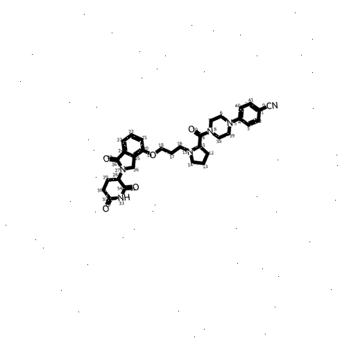 N#Cc1ccc(N2CCN(C(=O)C3CCCN3CCCOc3cccc4c3CN(C3CCC(=O)NC3=O)C4=O)CC2)cc1